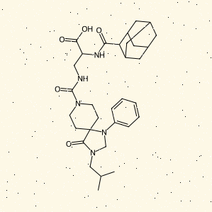 CC(C)CN1CN(c2ccccc2)C2(CCN(C(=O)NCC(NC(=O)C3C4CC5CC(C4)CC3C5)C(=O)O)CC2)C1=O